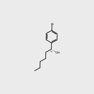 CCCCC[C@@H](O)c1ccc(Br)cc1